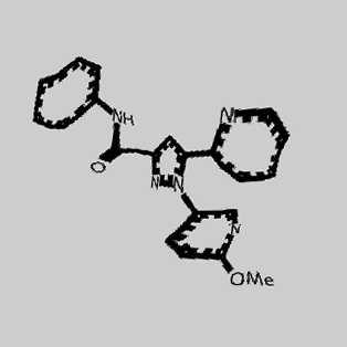 COc1ccc(-n2nc(C(=O)Nc3ccccc3)cc2-c2ccccn2)cn1